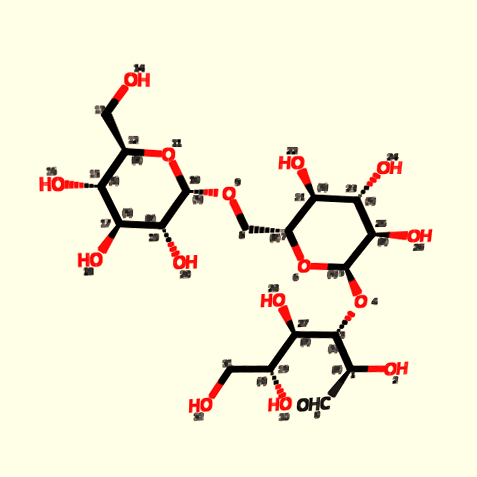 O=C[C@H](O)[C@@H](O[C@H]1O[C@H](CO[C@H]2O[C@H](CO)[C@@H](O)[C@H](O)[C@H]2O)[C@@H](O)[C@H](O)[C@H]1O)[C@H](O)[C@H](O)CO